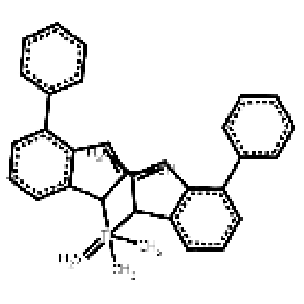 CC1=Cc2c(-c3ccccc3)cccc2[CH]1[Ti]([CH3])([CH3])(=[SiH2])[CH]1C(C)=Cc2c(-c3ccccc3)cccc21